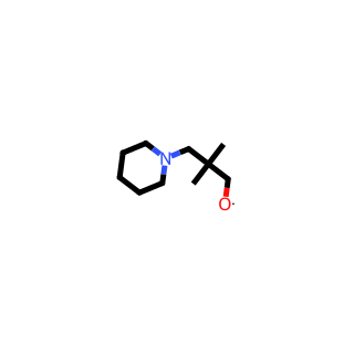 CC(C)(C[O])CN1CCCCC1